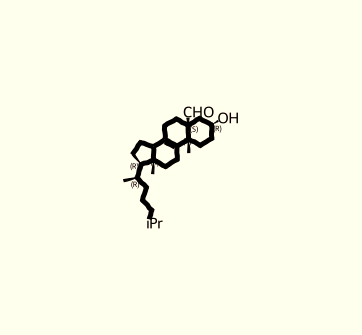 CC(C)CCC[C@@H](C)[C@H]1CCC2C3=C(CC[C@@]21C)[C@@]1(C)CC[C@@H](O)C[C@@]1(C=O)CC3